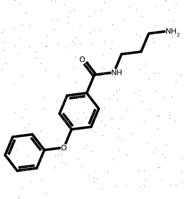 NCCCNC(=O)c1ccc(Oc2ccccc2)cc1